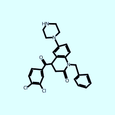 O=C(c1ccc(Cl)c(Cl)c1)C1CC(=O)N(Cc2ccccc2)c2ccc(N3CCNCC3)cc21